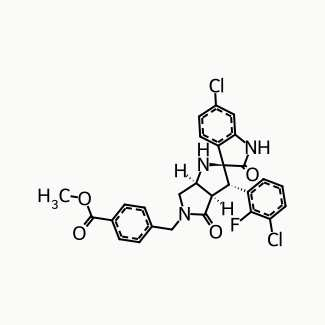 COC(=O)c1ccc(CN2C[C@H]3N[C@@]4(C(=O)Nc5cc(Cl)ccc54)[C@H](c4cccc(Cl)c4F)[C@H]3C2=O)cc1